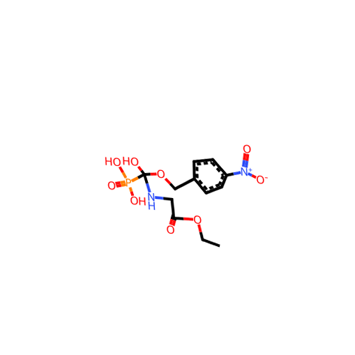 CCOC(=O)CNC(O)(OCc1ccc([N+](=O)[O-])cc1)P(=O)(O)O